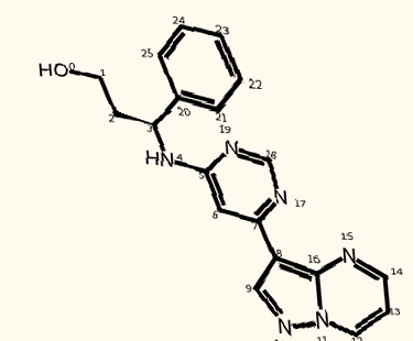 OCC[C@H](Nc1cc(-c2cnn3cccnc23)ncn1)c1ccccc1